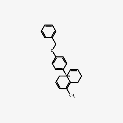 CC1=C2CCC=C[C@@]2(c2ccc(OCc3ccccc3)cc2)CC=C1